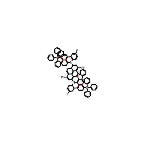 CC(C)c1cc(N(C2=CC=C(F)CC2c2ccc([Si](c3ccccc3)(c3ccccc3)c3ccccc3)cc2)c2cccc3c2oc2ccccc23)c2ccc3c(C(C)C)cc(N(c4ccc(F)cc4-c4ccc([Si](c5ccccc5)(c5ccccc5)c5ccccc5)cc4)c4cccc5c4oc4ccccc45)c4ccc1c2c34